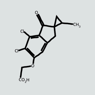 CC1CC12Cc1cc(OCC(=O)O)c(Cl)c(Cl)c1C2=O